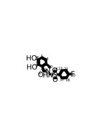 O=C1c2c(ccc(O)c2O)CN1NS(=O)(=O)c1ccc(F)cc1